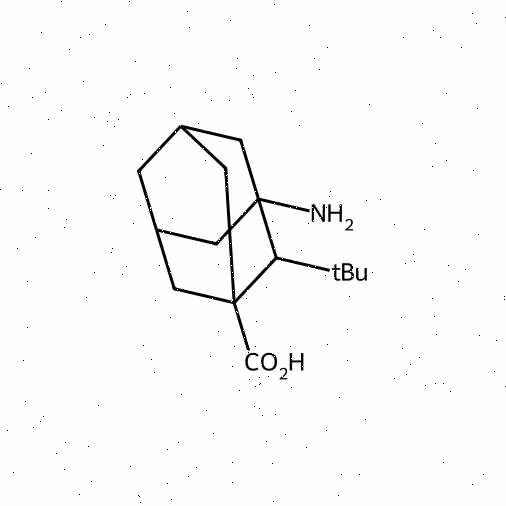 CC(C)(C)C1C2(N)CC3CC(C2)CC1(C(=O)O)C3